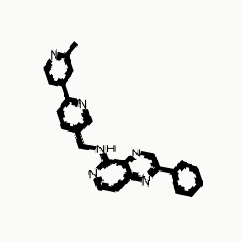 Cc1cc(-c2ccc(CNc3nccc4nc(-c5ccccc5)cnc34)cn2)ccn1